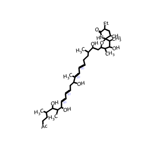 CCC1CC(C)C2(NC1=O)OC(CC(O)C(C)CC/C=C/C=C(\C)C(O)C/C=C/C=C/C(O)C(C)C(O)C(C)CCC(C)=O)C(C)C(O)C2C